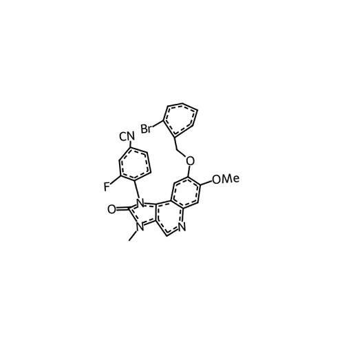 COc1cc2ncc3c(c2cc1OCc1ccccc1Br)n(-c1ccc(C#N)cc1F)c(=O)n3C